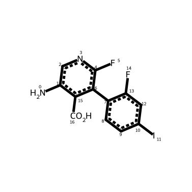 Nc1cnc(F)c(-c2ccc(I)cc2F)c1C(=O)O